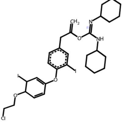 C=C(Cc1ccc(OC2=CC(I)C(OCCCl)C=C2)c(I)c1)O/C(=N/C1CCCCC1)NC1CCCCC1